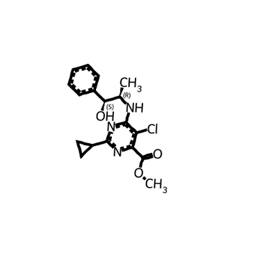 COC(=O)c1nc(C2CC2)nc(N[C@H](C)[C@@H](O)c2ccccc2)c1Cl